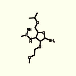 BC1OC(COC(C)C)C(NP(C)S)C1OCCOC